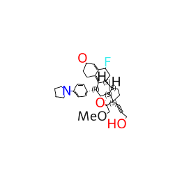 COCC(=O)[C@@]1(C#CCO)CC[C@H]2[C@@H]3CC(F)C4=CC(=O)CCC4=C3[C@@H](c3ccc(N4CCCC4)cc3)C[C@@]21C